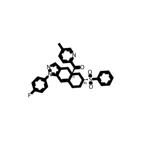 Cc1ccc(C(=O)[C@]23Cc4cnn(-c5ccc(F)cc5)c4C=C2CC[C@@H](S(=O)(=O)c2ccccc2)C3)nc1